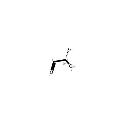 [CH2][C@H](O)C=O